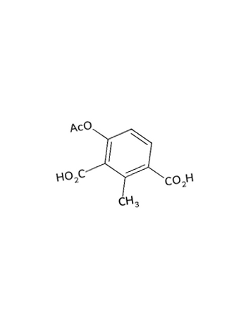 CC(=O)Oc1ccc(C(=O)O)c(C)c1C(=O)O